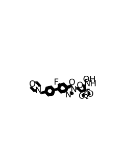 C[C@@](CCn1cnc2cc(-c3ccc(CN4CCOCC4)cc3)c(F)cc2c1=O)(C(=O)NO)S(C)(=O)=O